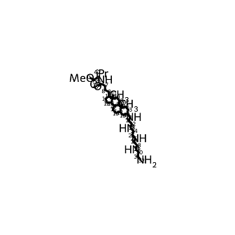 COC(=O)C(NC(=O)CCCC1CCC2C3CCC4CC(NCCNCCNCCNCCN)CCC4(C)C3CCC12C)C(C)C